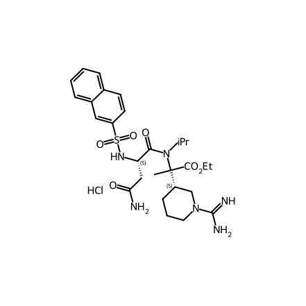 CCOC(=O)C(C)([C@H]1CCCN(C(=N)N)C1)N(C(=O)[C@H](CC(N)=O)NS(=O)(=O)c1ccc2ccccc2c1)C(C)C.Cl